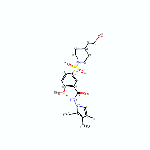 CCCc1c(C=O)c(C)cn1NC(=O)c1cc(S(=O)(=O)N2CCC(CCO)CC2)ccc1OCC